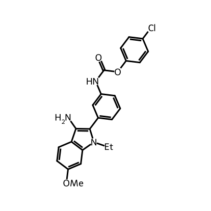 CCn1c(-c2cccc(NC(=O)Oc3ccc(Cl)cc3)c2)c(N)c2ccc(OC)cc21